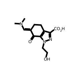 CN(C)C=C1CCc2c(C(=O)O)nn(CCO)c2C1=O